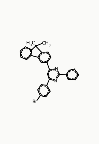 CC1(C)c2ccccc2-c2cc(-c3cc(-c4ccc(Br)cc4)nc(-c4ccccc4)n3)ccc21